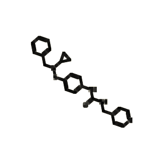 O=C(NCc1ccncc1)Nc1ccc(SN(Cc2ccccc2)C2CC2)cc1